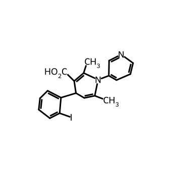 CC1=CC(c2ccccc2I)C(C(=O)O)=C(C)N1c1cccnc1